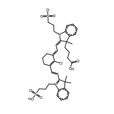 CC1(C)C(/C=C/C2=C(Cl)C(=C/C=C3/N(CCCS(=O)(=O)[O-])c4ccccc4C3(C)CCCC(=O)O)/CCC2)=[N+](CCCS(=O)(=O)O)c2ccccc21